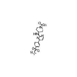 CS(=O)(=O)c1ccc(-c2ccnc(NC3CCN(C(=O)O)CC3)n2)cc1